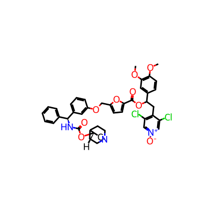 COc1ccc(C(Cc2c(Cl)c[n+]([O-])cc2Cl)OC(=O)c2ccc(COc3cccc([C@@H](NC(=O)O[C@H]4CN5CCC4CC5)c4ccccc4)c3)o2)cc1OC